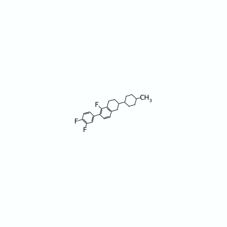 CC1CCC(C2CCc3c(ccc(-c4ccc(F)c(F)c4)c3F)C2)CC1